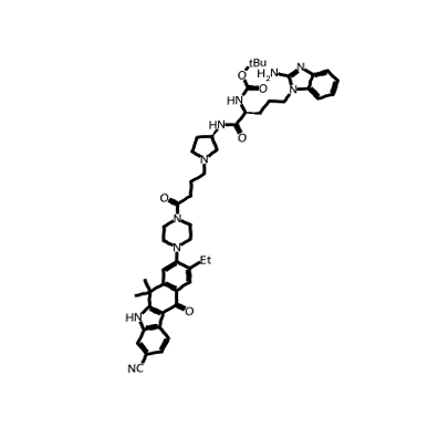 CCc1cc2c(cc1N1CCN(C(=O)CCCN3CC[C@@H](NC(=O)[C@H](CCCn4c(N)nc5ccccc54)NC(=O)OC(C)(C)C)C3)CC1)C(C)(C)c1[nH]c3cc(C#N)ccc3c1C2=O